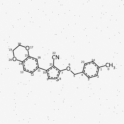 Cc1ccc(COc2scc(-c3ccc4c(c3)OCCO4)c2C#N)cc1